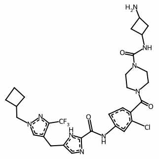 NC1CC(NC(=O)N2CCN(C(=O)c3ccc(NC(=O)c4ncc(Cc5cn(CC6CCC6)nc5C(F)(F)F)[nH]4)cc3Cl)CC2)C1